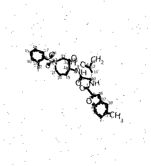 Cc1ccc2oc(C(=O)N[C@@H](CC(C)C)C(=O)NC3CCCN(S(=O)(=O)c4ccccc4F)CC3=O)cc2c1